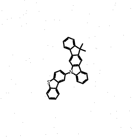 CC1(C)c2ccccc2-c2cc3c(cc21)c1ccccc1n3-c1ccc2sc3ccccc3c2c1